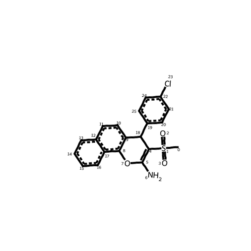 CS(=O)(=O)C1=C(N)Oc2c(ccc3ccccc23)C1c1ccc(Cl)cc1